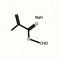 C=C(C)C(=O)OC=O.[NaH]